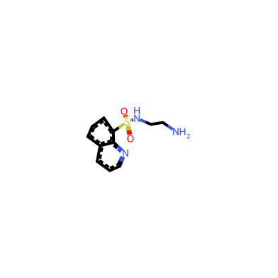 NCCNS(=O)(=O)c1cccc2cccnc12